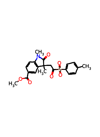 COC(=O)c1ccc2c(c1)C(C)(CC(=O)S(=O)(=O)c1ccc(C)cc1)C(=O)N2C